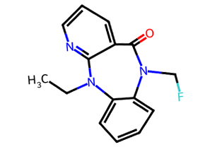 CCN1c2ccccc2N(CF)C(=O)c2cccnc21